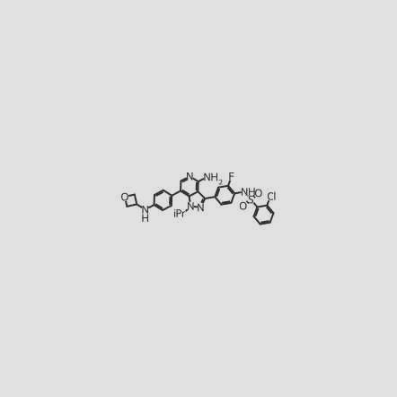 CC(C)n1nc(-c2ccc(NS(=O)(=O)c3ccccc3Cl)c(F)c2)c2c(N)ncc(-c3ccc(NC4COC4)cc3)c21